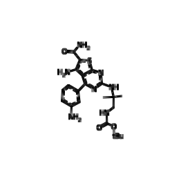 CC(C)(CNC(=O)OC(C)(C)C)Nc1nc(-c2cccc(N)c2)c2c(N)c(C(N)=O)sc2n1